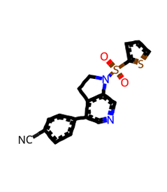 N#Cc1ccc(-c2cncc3c2CCN3S(=O)(=O)c2cccs2)cc1